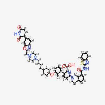 Cc1c(OC2CCC(CCCCN3CCN(Cc4nc5ccc(C6CCC(=O)NC6=O)cc5o4)CC3)CC2)cccc1-c1ccc(N2CCc3cccc(C(=O)Nc4nc5ccccc5s4)c3C2)nc1C(=O)O